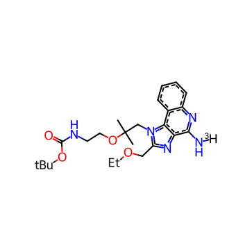 [3H]Nc1nc2ccccc2c2c1nc(COCC)n2CC(C)(C)OCCNC(=O)OC(C)(C)C